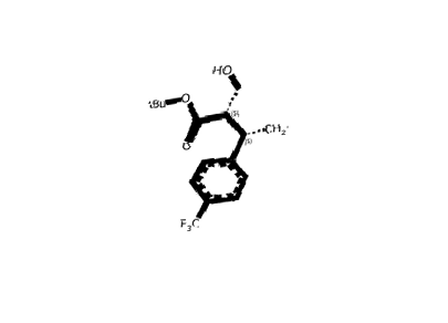 [CH2][C@H](c1ccc(C(F)(F)F)cc1)[C@@H](CO)C(=O)OC(C)(C)C